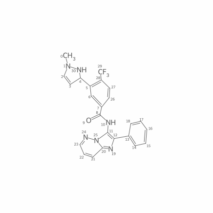 CN1C=CC(c2cc(C(=O)Nc3c(-c4ccccc4)nc4cccnn34)ccc2C(F)(F)F)N1